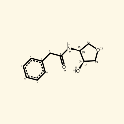 O=C(Cc1ccccc1)N[C@H]1COC[C@H]1O